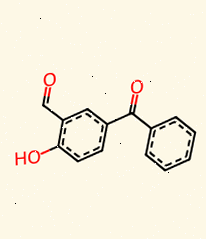 O=Cc1cc(C(=O)c2ccccc2)ccc1O